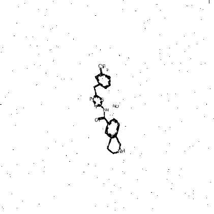 Cl.O=C(Nc1nnc(Cc2cccc(C(F)(F)F)c2)s1)c1ccc2c(c1)CCNC2